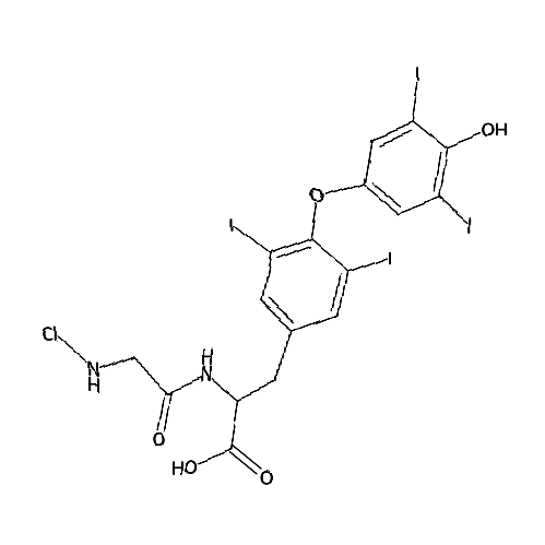 O=C(CNCl)NC(Cc1cc(I)c(Oc2cc(I)c(O)c(I)c2)c(I)c1)C(=O)O